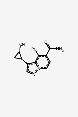 CC(C)c1c(C(N)=O)ccn2ncc([C@H]3C[C@@H]3C#N)c12